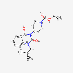 CCOC(=O)N1CCC(n2c(=O)c3ccccc3n(CC(C)C)c2=O)CC1